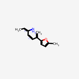 C=C(/C=C\C(N)=C/C)c1ccc(C)o1